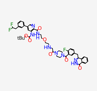 CC(C)(C)OC(=O)Nc1cc(-c2cccc(CC(F)F)c2)cnc1C(=O)NCCOCCNCC(=O)N1CCN(C(=O)c2cc(Cc3n[nH]c(=O)c4ccccc34)ccc2F)CC1